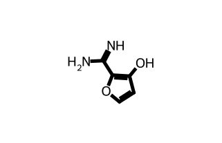 N=C(N)c1occc1O